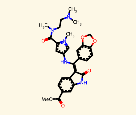 COC(=O)c1ccc2c(c1)NC(=O)C2=C(Nc1cc(C(=O)N(C)CCN(C)C)n(C)c1)c1ccc2c(c1)OCO2